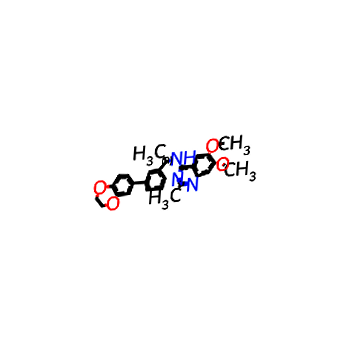 COc1cc2nc(C)nc(N[C@H](C)c3cccc(-c4ccc5c(c4)OCCO5)c3)c2cc1OC